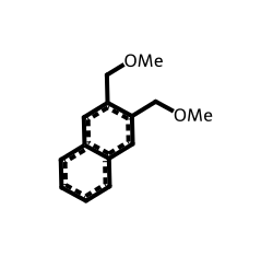 COCc1cc2ccccc2cc1COC